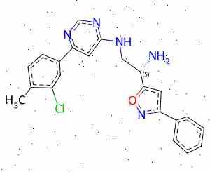 Cc1ccc(-c2cc(NC[C@H](N)c3cc(-c4ccccc4)no3)ncn2)cc1Cl